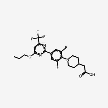 CCCOc1cc(C(F)(F)F)nc(-c2cc(F)c(N3CCC(CC(=O)O)CC3)c(F)c2)n1